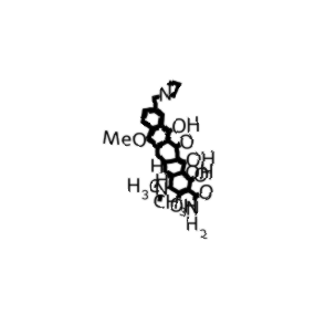 COc1c2c(c(O)c3cc(CN4CCC4)ccc13)C(=O)C1=C(O)[C@]3(O)C(=O)C(C(N)=O)=C(O)[C@@H](N(C)C)[C@@H]3C[C@@H]1C2